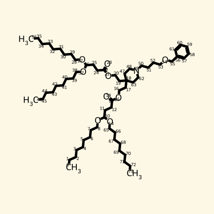 CCCCCCCCCOC(CCC(=O)OCCC1(CCOC(=O)CCC(OCCCCCCCCC)OCCCCCCCCC)CCN(CCCCOCc2ccccc2)CC1)OCCCCCCCCC